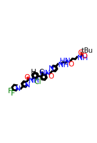 Cc1c(NC(=O)c2ccc(CNCCNC(=O)CCCNC(=O)OC(C)(C)C)cn2)cccc1-c1cccc(NC(=O)c2ccc(CN3CCCC(F)(F)C3)cn2)c1Cl